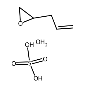 C=CCC1CO1.O.O=S(=O)(O)O